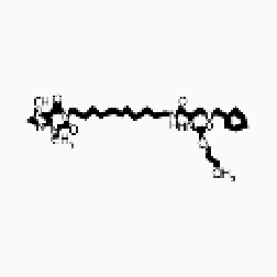 CCCCOC(=O)NC(COCc1ccccc1)C(=O)NCCCCCCCCCCCn1c(=O)c2c(ncn2C)n(C)c1=O